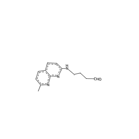 Cc1ccc2ccc(N[CH]CCC=O)nc2n1